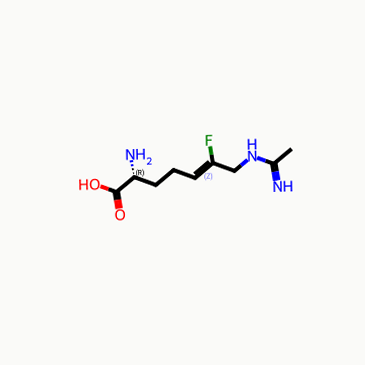 CC(=N)NC/C(F)=C/CC[C@@H](N)C(=O)O